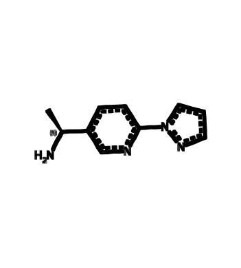 C[C@H](N)c1ccc(-n2cccn2)nc1